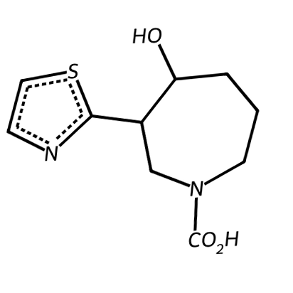 O=C(O)N1CCCC(O)C(c2nccs2)C1